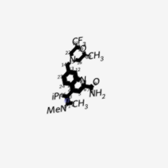 CN/C(C)=C(/c1cc(C(N)=O)nc2cc(CN3C[C@@H](C)O[C@@H](C(F)(F)F)C3)ccc12)C(C)C